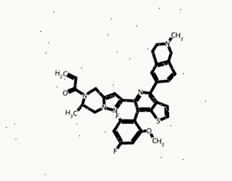 C=CC(=O)N1Cc2cc(-c3nc(-c4ccc5c(c4)CCN(C)C5)c4ccsc4c3-c3c(F)cc(F)cc3OC)nn2CC1C